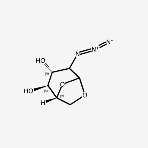 [N-]=[N+]=NC1C2OC[C@@H](O2)[C@@H](O)[C@@H]1O